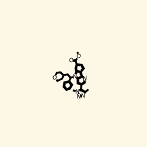 COC(=O)c1ccc2c3ncc(-c4c(C)nnn4C)cc3n(C(CC3CCOCC3)c3ccccc3)c2c1